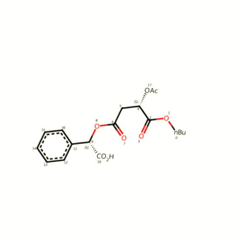 CCCCOC(=O)[C@H](CC(=O)O[C@H](C(=O)O)c1ccccc1)OC(C)=O